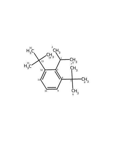 CC(C)c1c(C(C)(C)C)cccc1C(C)(C)C